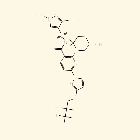 Cc1nn(C)cc1S(=O)(=O)NC(=O)c1ccc(-n2ccc(OCC(C)(C)C(F)(F)F)n2)nc1N1C[C@@H](C)CCC1(C)C